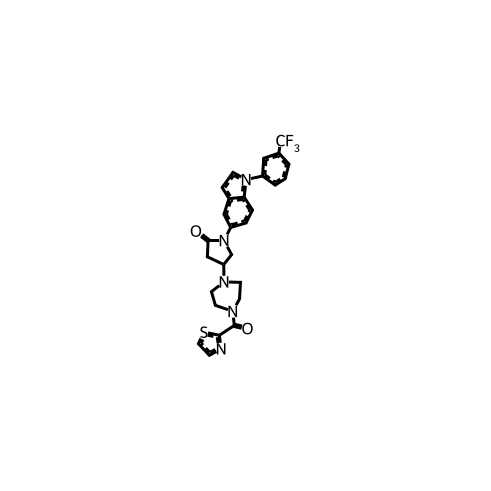 O=C(c1nccs1)N1CCN(C2CC(=O)N(c3ccc4c(ccn4-c4cccc(C(F)(F)F)c4)c3)C2)CC1